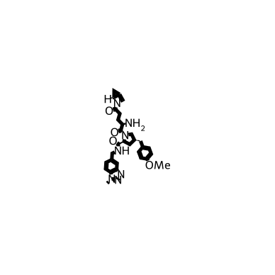 COc1ccc(C[C@@H]2C[C@@H](C(=O)NCc3ccc4c(c3)nnn4C)N(C(=O)[C@H](N)CCC(=O)N3C=C4C[C@@H]43)C2)cc1